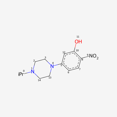 CC(C)N1CCN(c2ccc([N+](=O)[O-])c(O)c2)CC1